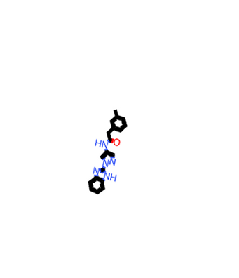 Cc1cccc(CC(=O)Nc2cnn(-c3nc4ccccc4[nH]3)c2)c1